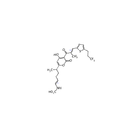 C/C(=C\c1ccc(CCC(F)(F)F)s1)C(=O)c1c(O)cc(C(C)CC/C=C/NC(=O)O)oc1=O